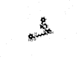 O=C(NCCCCCc1nc(N2CCCN(Cc3ccccc3)C3(CC3)C2)c2cc[nH]c2n1)c1ccccc1O